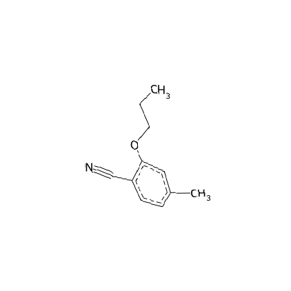 CCCOc1cc(C)ccc1C#N